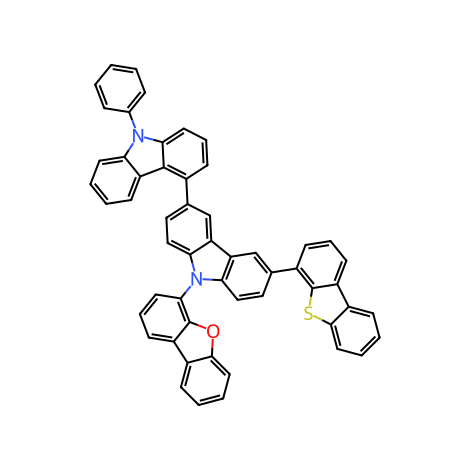 c1ccc(-n2c3ccccc3c3c(-c4ccc5c(c4)c4cc(-c6cccc7c6sc6ccccc67)ccc4n5-c4cccc5c4oc4ccccc45)cccc32)cc1